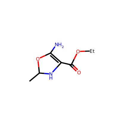 CCOC(=O)C1=C(N)OC(C)N1